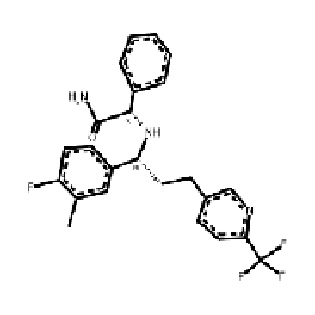 Cc1cc([C@@H](CCc2ccc(C(F)(F)F)nc2)N[C@H](C(N)=O)c2ccccc2)ccc1F